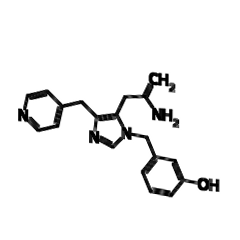 C=C(N)Cc1c(Cc2ccncc2)ncn1Cc1cccc(O)c1